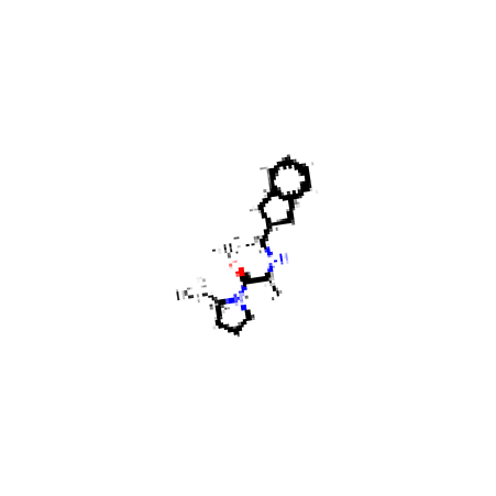 CCOC(=O)[C@@H](N[C@@H](C)C(=O)N1CCC[C@H]1C(=O)O)C1Cc2ccccc2C1